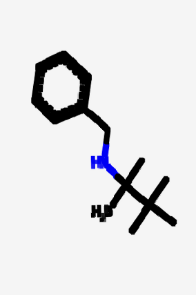 BC(C)(NCc1ccccc1)C(C)(C)C